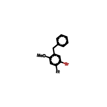 CCc1cc(OC)c(Cc2ccccc2)cc1Br